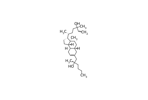 C=CC(C)(O)CC[C@@H](C)[C@H]1CC[C@H]2[C@@H]3CC=C(C[C@@](C)(O)CCCC)C[C@H]3CC[C@]12C